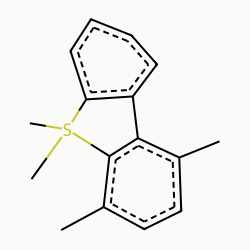 Cc1ccc(C)c2c1-c1ccccc1S2(C)C